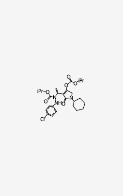 C=C(C1=C(OC(=O)OC(C)C)CN(C2CCCCC2)C1=O)N(Nc1ccc(Cl)cc1)C(=O)OC(C)C